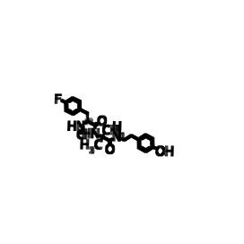 CC(C)(NC(=O)[C@H](Cc1ccc(F)cc1)NCl)C(=O)NCCc1ccc(O)cc1